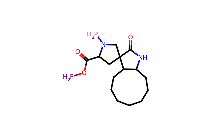 O=C(OP)C1CC2(CN1P)C(=O)NC1CCCCCCCC12